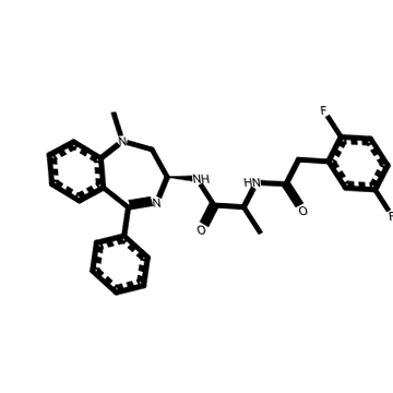 CC(NC(=O)Cc1cc(F)ccc1F)C(=O)N[C@@H]1CN(C)c2ccccc2C(c2ccccc2)=N1